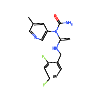 C=C(NCC(=C/C(C)C)/C(F)=C\CF)N(C(N)=O)c1cncc(C)c1